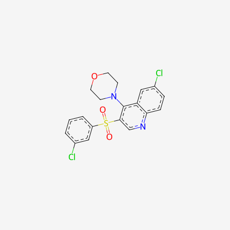 O=S(=O)(c1cccc(Cl)c1)c1cnc2ccc(Cl)cc2c1N1CCOCC1